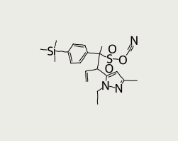 C=CC(c1cc(C)nn1CC)C(C)(c1ccc([Si](C)(C)C)cc1)S(=O)(=O)OC#N